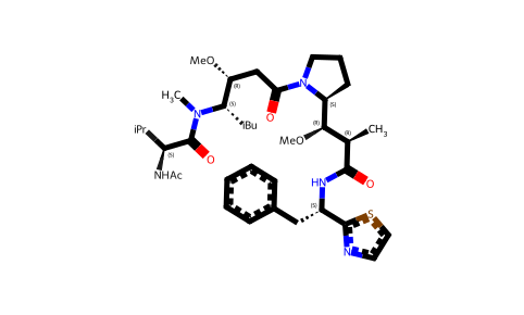 CCC(C)[C@@H]([C@@H](CC(=O)N1CCC[C@H]1[C@H](OC)[C@@H](C)C(=O)N[C@@H](Cc1ccccc1)c1nccs1)OC)N(C)C(=O)[C@@H](NC(C)=O)C(C)C